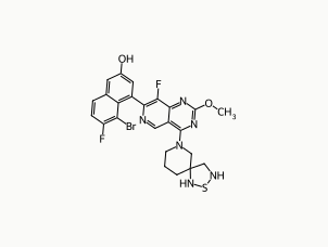 COc1nc(N2CCCC3(CNSN3)C2)c2cnc(-c3cc(O)cc4ccc(F)c(Br)c34)c(F)c2n1